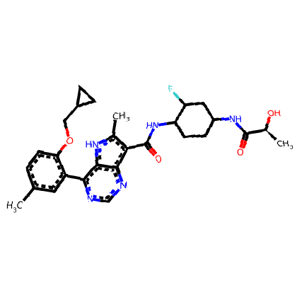 Cc1ccc(OCC2CC2)c(-c2ncnc3c(C(=O)NC4CCC(NC(=O)[C@H](C)O)CC4F)c(C)[nH]c23)c1